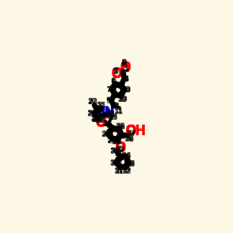 COC(=O)Cc1ccc(C[C@@H](C)NC[C@H](O[Si](C)(C)C(C)(C)C)c2ccc(OCc3ccccc3)c(CO)c2)cc1